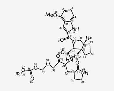 COc1cccc2[nH]c(C(=O)N3C[C@@H]4CCC[C@@H]4[C@H]3C(=O)NC(C[C@@H]3CCNC3=O)C(=O)COCOC(=O)OC(C)C)cc12